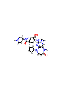 CN1CCC(NC(=O)c2ccc(NC3=NC4=C(C[N+]35CC5)N(C)C(=O)CCN4C3CCCC3)c(O)c2)CC1